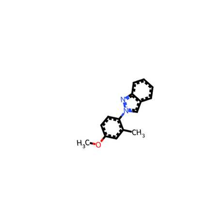 COc1ccc(-n2cc3ccccc3n2)c(C)c1